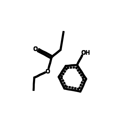 CCOC(=O)CC.Oc1ccccc1